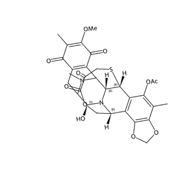 COC1=C(C)C(=O)C2=C(C1=O)C1[C@@H]3[C@@H]4SCC(=O)C(=O)OC[C@@H](c5c6c(c(C)c(OC(C)=O)c54)OCO6)N3[C@@H](O)C(C2)N1C